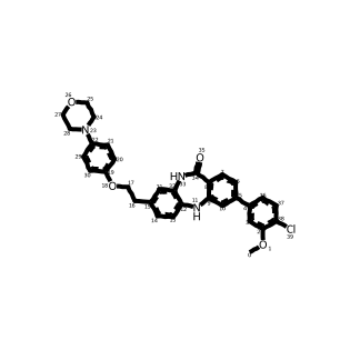 COc1cc(-c2ccc3c(c2)Nc2ccc(CCOc4ccc(N5CCOCC5)cc4)cc2NC3=O)ccc1Cl